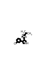 CC(C)c1noc(C2CNCC2c2cccc(Cl)c2)n1